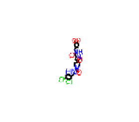 COc1ccc(CNC(=O)C2=NOC3(CCN(C(=O)NCc4ccc(Cl)c(Cl)c4)CC3)C2)cc1OC